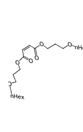 CCCCCCOCCCOC(=O)/C=C\C(=O)OCCCOCCCCCC